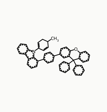 CC1C=CC(n2c3ccccc3c3cccc(-c4ccc(-c5ccc6c(c5)C(c5ccccc5)(c5ccccc5)c5ccccc5O6)cc4)c32)=CC1